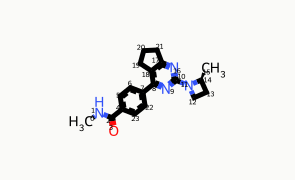 CNC(=O)c1ccc(-c2nc(N3CC[C@@H]3C)nc3c2CCC3)cc1